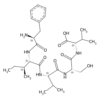 CC[C@H](C)[C@H](NC(=O)[C@@H](N)Cc1ccccc1)C(=O)N[C@H](C(=O)N[C@@H](CO)C(=O)N[C@H](C(=O)O)C(C)C)C(C)C